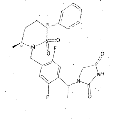 CC(c1cc(F)c(CN2[C@@H](C)CC[C@H](c3ccccc3)S2(=O)=O)cc1F)N1CC(=O)NC1=O